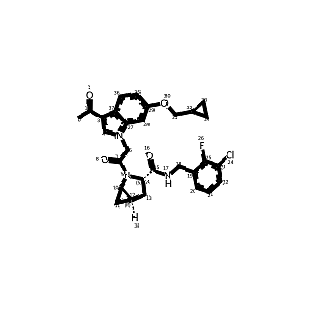 CC(=O)c1cn(CC(=O)N2C3C[C@@H]3C[C@H]2C(=O)NCc2cccc(Cl)c2F)c2cc(OCC3CC3)ccc12